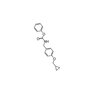 O=C(NCc1ccc(OCC2CC2)cc1)Oc1ccccc1